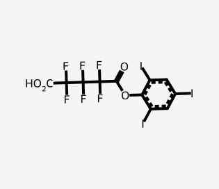 O=C(O)C(F)(F)C(F)(F)C(F)(F)C(=O)Oc1c(I)cc(I)cc1I